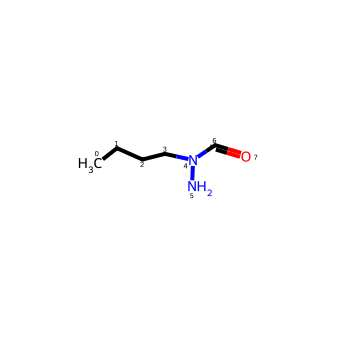 CCCCN(N)[C]=O